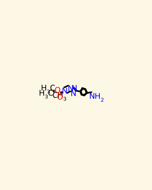 CC(C)(C)OC(=O)N1CCn2nc(-c3ccc(CN)cc3)nc2C1